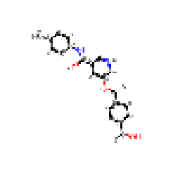 CC(O)c1ccc([C@@H](C)Oc2cncc(C(=O)Nc3ccc(C#N)cc3)c2)cc1